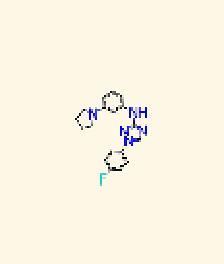 Cc1cc(Nc2ncn(-c3ccc(F)cc3)n2)cc(N2CCCC2)c1